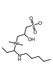 CCCCCNC(CC)[N+](C)(C)CC(O)CS(=O)(=O)[O-]